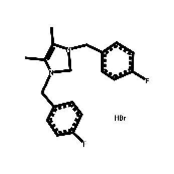 Br.CC1=C(C)N(Cc2ccc(F)cc2)CN1Cc1ccc(F)cc1